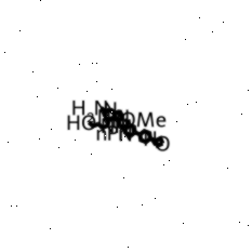 CCCC(CCO)Nc1nc(N)nc2cnn(Cc3ncc(C4CCN(C5COC5)CC4)cc3OC)c12